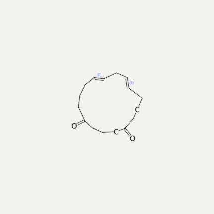 O=C1CCC/C=C/C/C=C/CCCC(=O)CCC1